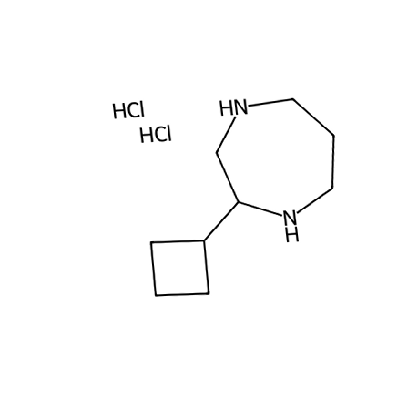 C1CNCC(C2CCC2)NC1.Cl.Cl